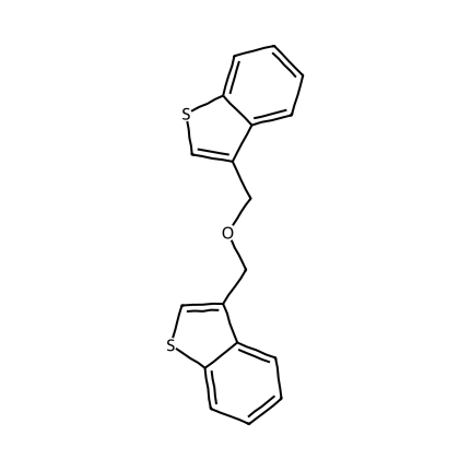 c1ccc2c(COCc3csc4ccccc34)csc2c1